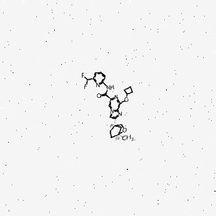 C[C@@]12CC[C@@](c3cn4cc(C(=O)Nc5cccc(C(F)F)n5)nc(OC5CCC5)c4n3)(CO1)C2